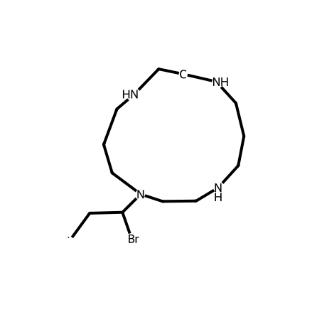 [CH2]CC(Br)N1CCCNCCNCCCNCC1